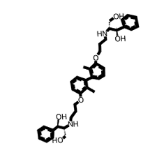 Cc1c(OCCCN[C@H](CO)[C@H](O)c2ccccc2)cccc1-c1cccc(OCCCN[C@H](CO)[C@H](O)c2ccccc2)c1C